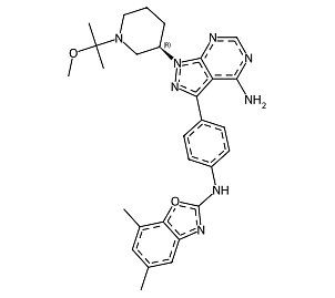 COC(C)(C)N1CCC[C@@H](n2nc(-c3ccc(Nc4nc5cc(C)cc(C)c5o4)cc3)c3c(N)ncnc32)C1